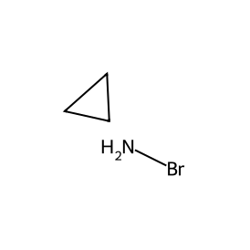 C1CC1.NBr